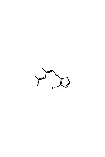 CC(C)=CC(C)=[CH][Ru][C]1=C(C(C)C)C=CC1